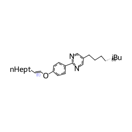 CCCCCCC/C=C/Oc1ccc(-c2ncc(CCCC[C@@H](C)CC)cn2)cc1